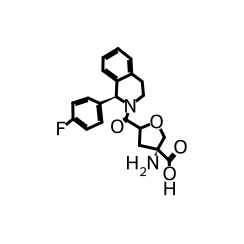 N[C@@]1(C(=O)O)COC(C(=O)N2CCc3ccccc3[C@@H]2c2ccc(F)cc2)C1